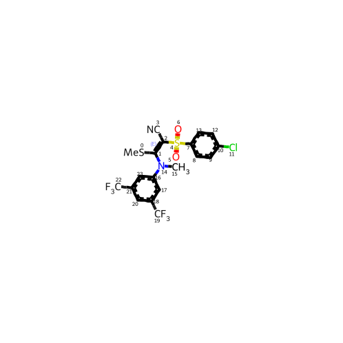 CS/C(=C(\C#N)S(=O)(=O)c1ccc(Cl)cc1)N(C)c1cc(C(F)(F)F)cc(C(F)(F)F)c1